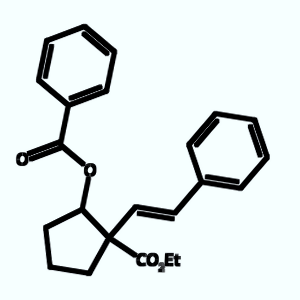 CCOC(=O)C1(C=Cc2ccccc2)CCCC1OC(=O)c1ccccc1